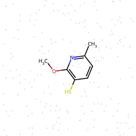 COc1nc(C)ccc1S